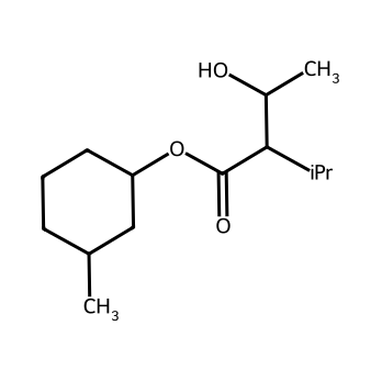 CC1CCCC(OC(=O)C(C(C)C)C(C)O)C1